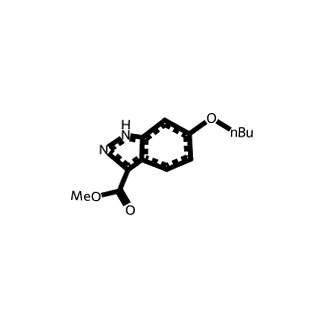 CCCCOc1ccc2c(C(=O)OC)n[nH]c2c1